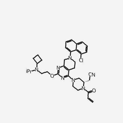 C=CC(=O)N1CCN(c2nc(OCCN(C(C)C)C3CCC3)nc3c2CCN(c2cccc4cccc(Cl)c24)C3)C[C@@H]1CC#N